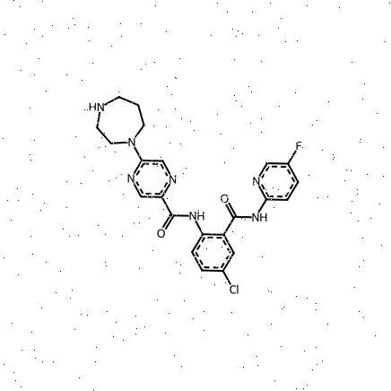 O=C(Nc1ccc(Cl)cc1C(=O)Nc1ccc(F)cn1)c1cnc(N2CCCNCC2)cn1